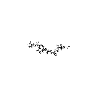 CC1(OC(=O)C2C3CC4C(OC(=O)C42)C3OC(=O)CCC(=O)OCC(F)C(F)(F)S(=O)(=O)O)CCCC1